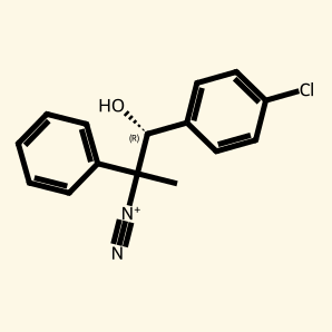 CC([N+]#N)(c1ccccc1)[C@H](O)c1ccc(Cl)cc1